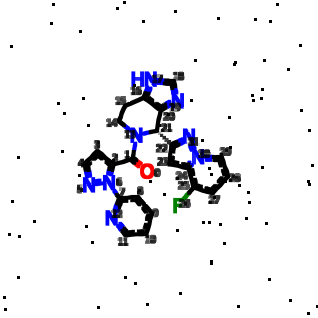 O=C(c1ccnn1-c1ccccn1)N1CCc2[nH]cnc2[C@@H]1c1cc2c(F)cccn2n1